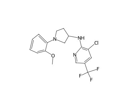 COc1ccccc1N1CCC(Nc2ncc(C(F)(F)F)cc2Cl)C1